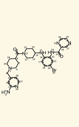 Nc1cc(CN2CCC(C(=O)N3CCC(Nc4ccc(Br)cc4NC(=O)c4cnccn4)CC3)CC2)ccn1